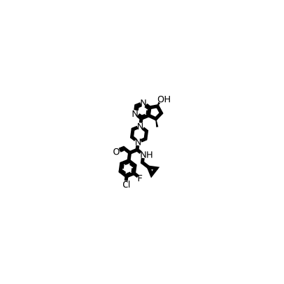 C[C@@H]1C[C@H](O)c2ncnc(N3CCN(C(NCC4CC4)C(C=O)c4ccc(Cl)c(F)c4)CC3)c21